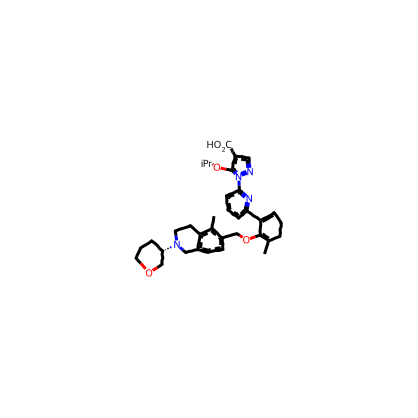 CC1=C(OCc2ccc3c(c2C)CCN([C@H]2CCCOC2)C3)C(c2cccc(-n3ncc(C(=O)O)c3OC(C)C)n2)=CCC1